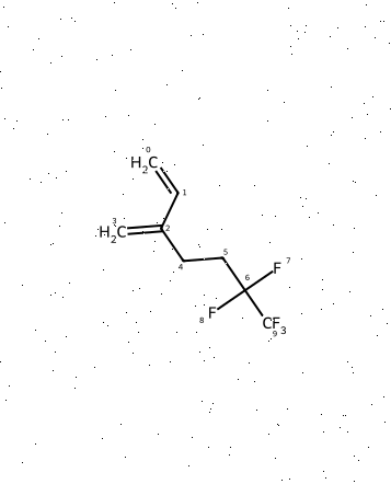 C=CC(=C)CCC(F)(F)C(F)(F)F